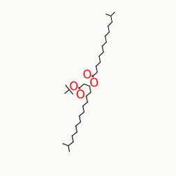 CC(C)CCCCCCCCCCCC(=O)OC(CCCCCCCCCCCC(C)C)CC(=O)OC(C)(C)C